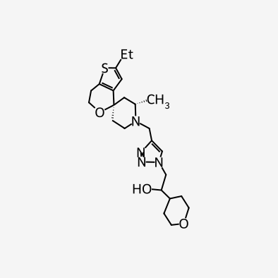 CCc1cc2c(s1)CCO[C@@]21CCN(Cc2cn(CC(O)C3CCOCC3)nn2)[C@@H](C)C1